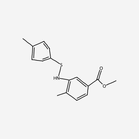 COC(=O)c1ccc(C)c(NSc2ccc(C)cc2)c1